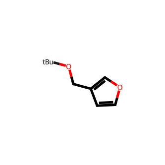 CC(C)(C)OCc1ccoc1